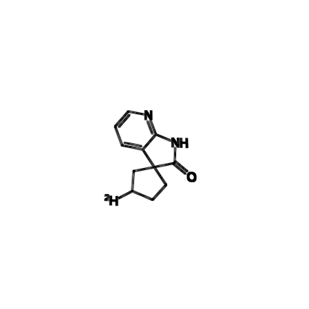 [2H]C1CCC2(C1)C(=O)Nc1ncccc12